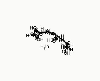 O=C(O)CC[C@H](NC(=O)N[C@@H](CCCCNC(=O)CCCCCN(Cc1ccc(OCc2cn(CCCNC(=O)CN3CCN(CC(=O)O)CCN(CC(=O)O)CCN(CC(=O)O)CC3)nn2)cc1)Cc1nccn1CC(=O)O)C(=O)O)C(=O)O.[InH3]